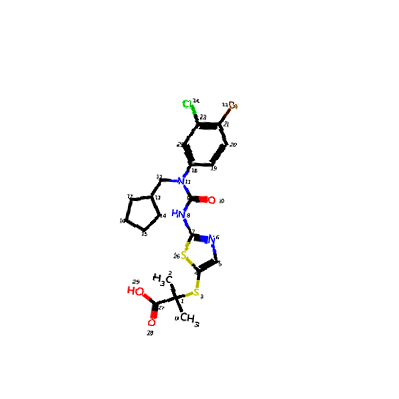 CC(C)(Sc1cnc(NC(=O)N(CC2CCCC2)c2ccc(Br)c(Cl)c2)s1)C(=O)O